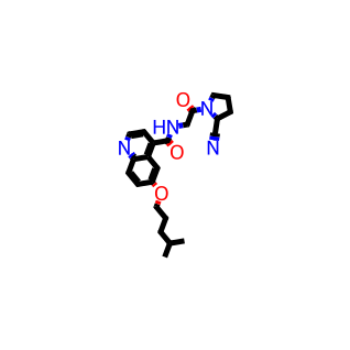 CC(C)CCCOc1ccc2nccc(C(=O)NCC(=O)N3CCCC3C#N)c2c1